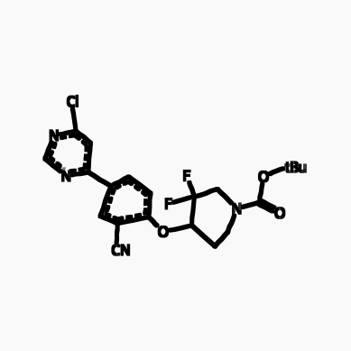 CC(C)(C)OC(=O)N1CCC(Oc2ccc(-c3cc(Cl)ncn3)cc2C#N)C(F)(F)C1